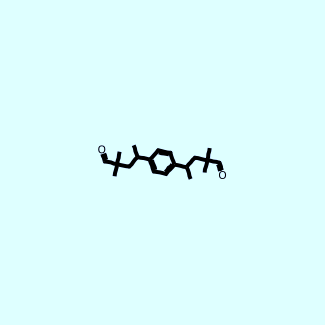 CC(CC(C)(C)C=O)c1ccc(C(C)CC(C)(C)C=O)cc1